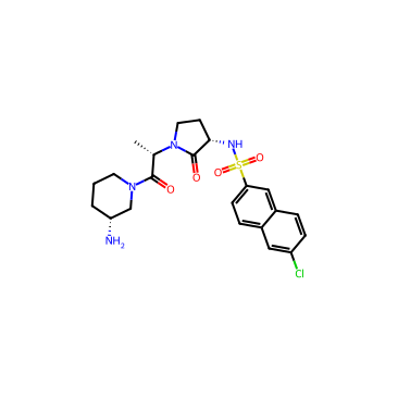 C[C@@H](C(=O)N1CCC[C@@H](N)C1)N1CC[C@H](NS(=O)(=O)c2ccc3cc(Cl)ccc3c2)C1=O